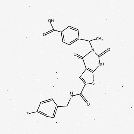 CC(c1ccc(C(=O)O)cc1)n1c(=O)[nH]c2sc(C(=O)NCc3ccc(F)cc3)cc2c1=O